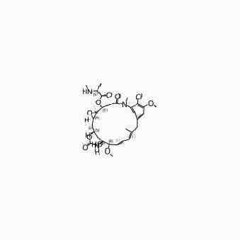 CN[C@@H](C)C(=O)O[C@H]1CC(=O)N(C)c2cc(cc(OC)c2Cl)C/C(C)=C/C=C/[C@@H](OC)[C@@]2(O)C[C@H](OC(=O)N2)[C@H](C)[C@H]2O[C@@]12C